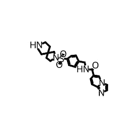 O=C(NCc1ccc(S(=O)(=O)N2CCC3(CCNCC3)C2)cc1)c1ccc2nccn2c1